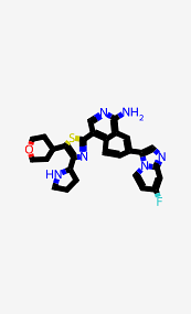 Nc1ncc(-c2nc(C3CCCN3)c(C3CCOCC3)s2)c2ccc(-c3cnc4cc(F)ccn34)cc12